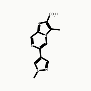 Cc1c(C(=O)O)nc2cnc(-c3cnn(C)c3)cn12